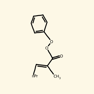 CCCC=C(C)C(=O)OOc1ccccc1